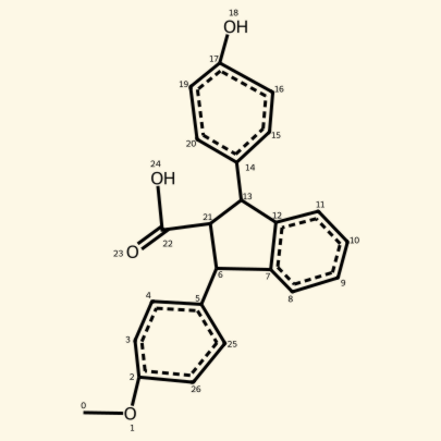 COc1ccc(C2c3ccccc3C(c3ccc(O)cc3)C2C(=O)O)cc1